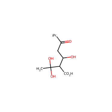 [CH2]C(O)(O)C(C(=O)O)C(O)CC(=O)C(C)C